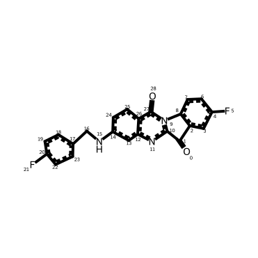 O=C1c2cc(F)ccc2-n2c1nc1cc(NCc3ccc(F)cc3)ccc1c2=O